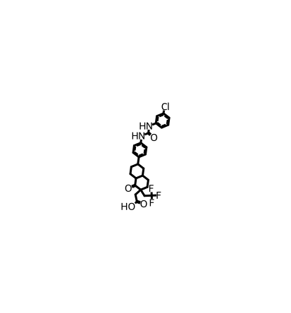 O=C(O)CC1(CC(F)(F)F)CCC2CC(c3ccc(NC(=O)Nc4cccc(Cl)c4)cc3)CCC2C1=O